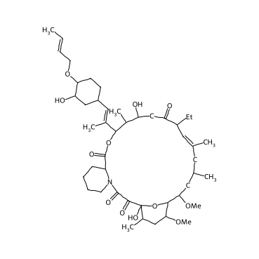 C/C=C/COC1CCC(C=C(C)C2OC(=O)C3CCCCN3C(=O)C(=O)C3(O)OC(C(OC)CC(C)C/C(C)=C/C(CC)C(=O)CC(O)C2C)C(OC)CC3C)CC1O